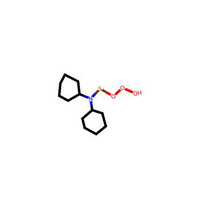 OOOSN(C1CCCCC1)C1CCCCC1